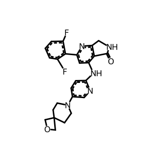 O=C1NCc2nc(-c3c(F)cccc3F)cc(Nc3ccc(N4CCC5(CC4)COC5)cn3)c21